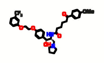 COc1ccc(C(=O)CCCCC(=O)N[C@H](CN2CCCC2)[C@H](O)c2ccc(OCCOc3cccc(C(F)(F)F)c3)cc2)cc1